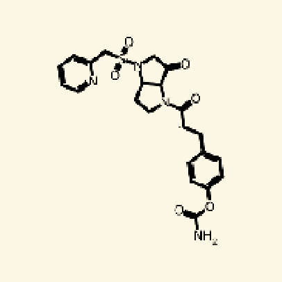 NC(=O)Oc1ccc(C[CH]C(=O)N2CCC3C2C(=O)CN3S(=O)(=O)Cc2ccccn2)cc1